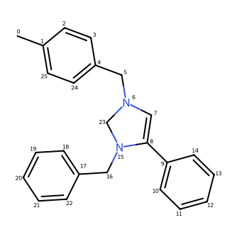 Cc1ccc(CN2C=C(c3ccccc3)N(Cc3ccccc3)C2)cc1